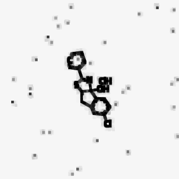 Cl.OC12N=C(c3ccccc3)SC1Cc1cc(Cl)ccc12